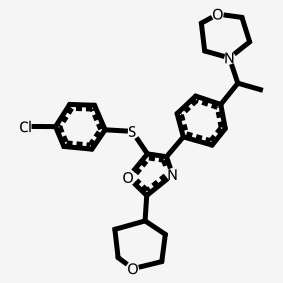 CC(c1ccc(-c2nc(C3CCOCC3)oc2Sc2ccc(Cl)cc2)cc1)N1CCOCC1